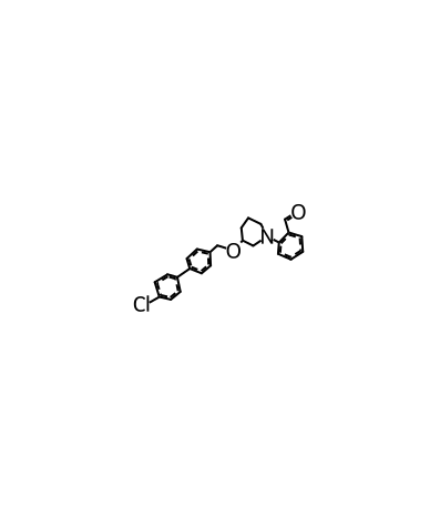 O=Cc1ccccc1N1CCCC(OCc2ccc(-c3ccc(Cl)cc3)cc2)C1